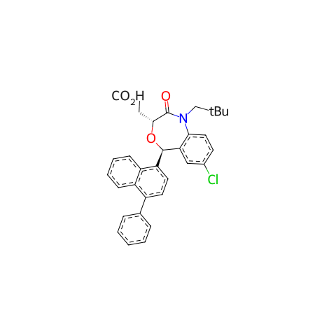 CC(C)(C)CN1C(=O)[C@@H](CC(=O)O)O[C@H](c2ccc(-c3ccccc3)c3ccccc23)c2cc(Cl)ccc21